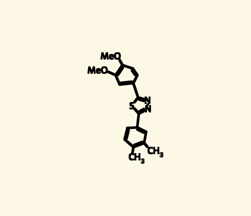 COc1ccc(-c2nnc(-c3ccc(C)c(C)c3)s2)cc1OC